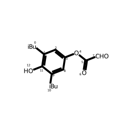 CCC(C)c1cc(OC(=O)C=O)cc(C(C)CC)c1O